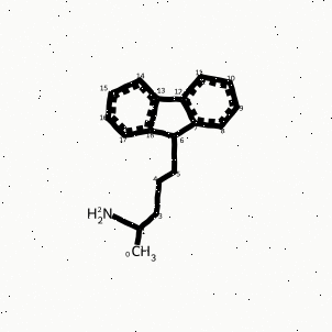 CC(N)CCCC1c2ccccc2-c2ccccc21